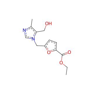 CCOC(=O)c1ccc(Cn2cnc(C)c2CO)o1